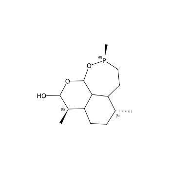 C[C@H]1C(O)OC2O[P@@](C)CCC3C2C1CC[C@H]3C